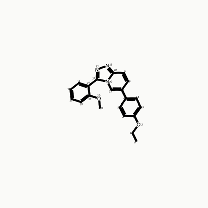 CCOc1ccc(-c2ccc3nnc(-c4ccccc4OC)n3c2)cc1